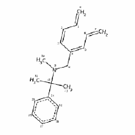 C=C/C=C\C(=C/C=C)CN(C)C(C)(C)c1ccccc1